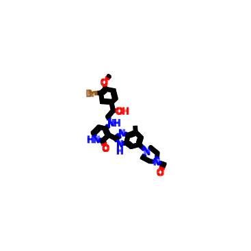 COc1ccc(C(O)CNc2cc[nH]c(=O)c2-c2nc3c(C)cc(N4CCN(C=O)CC4)cc3[nH]2)cc1Br